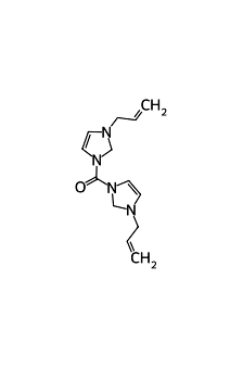 C=CCN1C=CN(C(=O)N2C=CN(CC=C)C2)C1